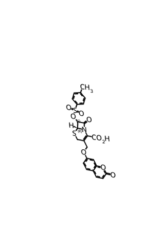 Cc1ccc(S(=O)(=O)O[C@H]2C(=O)N3C(C(=O)O)=C(COc4ccc5ccc(=O)oc5c4)CS[C@H]23)cc1